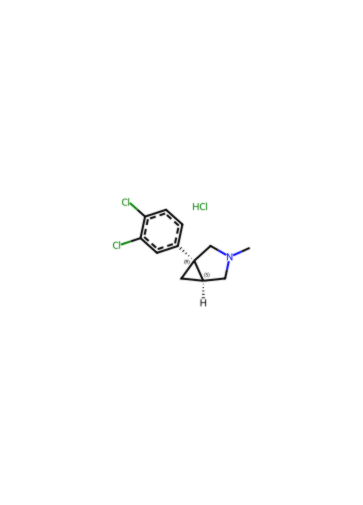 CN1C[C@H]2C[C@@]2(c2ccc(Cl)c(Cl)c2)C1.Cl